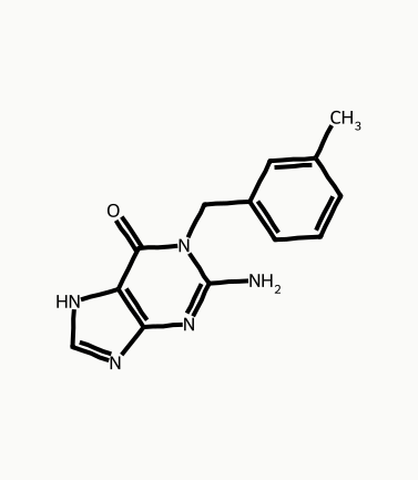 Cc1cccc(Cn2c(N)nc3nc[nH]c3c2=O)c1